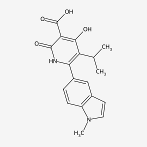 CC(C)c1c(-c2ccc3c(ccn3C)c2)[nH]c(=O)c(C(=O)O)c1O